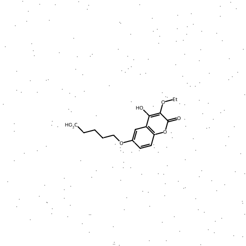 CCOc1c(O)c2cc(OCCCCC(=O)O)ccc2oc1=O